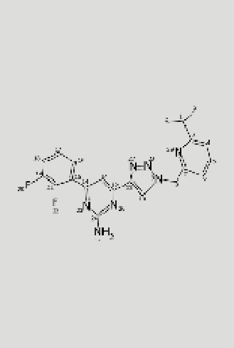 CC(C)c1cccc(Cn2cc(-c3cc(-c4cccc(F)c4F)nc(N)n3)nn2)n1